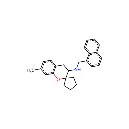 Cc1ccc2c(c1)OC1(CCCC1)C(NCc1cccc3ccccc13)C2